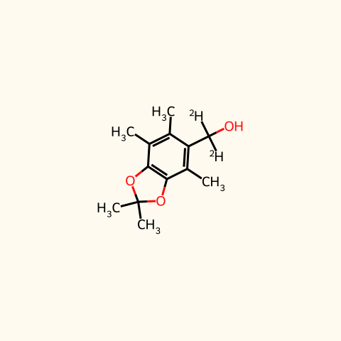 [2H]C([2H])(O)c1c(C)c(C)c2c(c1C)OC(C)(C)O2